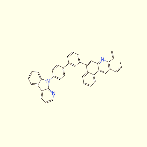 C=Cc1nc2cc(-c3cccc(-c4ccc(-n5c6ccccc6c6cccnc65)cc4)c3)c3ccccc3c2cc1/C=C\C